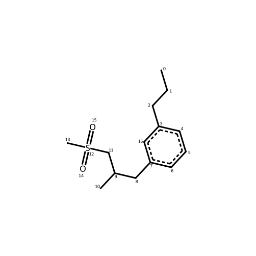 CCCc1cccc(CC(C)CS(C)(=O)=O)c1